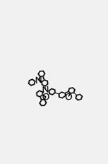 c1ccc(-c2cccc3c2oc2ccc(-c4ccc(N(c5ccc6c7ccccc7n(-c7ccccc7)c6c5)c5cccc6c5oc5ccccc56)cc4)cc23)cc1